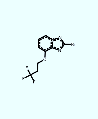 FC(F)(F)CCOc1cccn2nc(Br)nc12